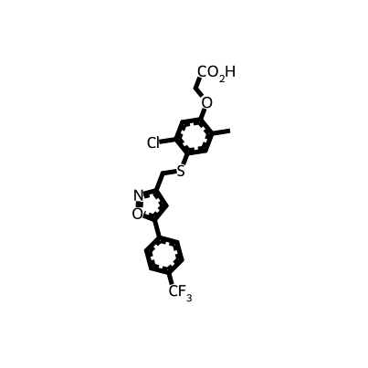 Cc1cc(SCc2cc(-c3ccc(C(F)(F)F)cc3)on2)c(Cl)cc1OCC(=O)O